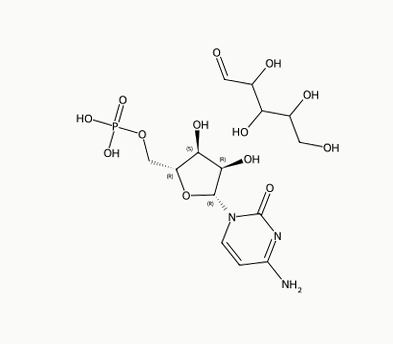 Nc1ccn([C@@H]2O[C@H](COP(=O)(O)O)[C@@H](O)[C@H]2O)c(=O)n1.O=CC(O)C(O)C(O)CO